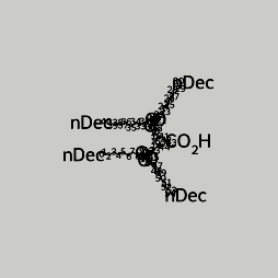 CCCCCCCCCCCCCCCCCCOP(=O)(C=Cc1cc(C=CP(=O)(OCCCCCCCCCCCCCCCCCC)OCCCCCCCCCCCCCCCCCC)cc(C(=O)O)c1)OCCCCCCCCCCCCCCCCCC